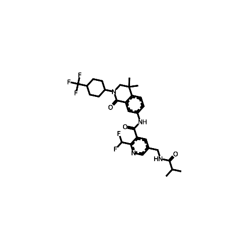 CC(C)C(=O)NCc1cnc(C(F)F)c(C(=O)Nc2ccc3c(c2)C(=O)N(C2CCC(C(F)(F)F)CC2)CC3(C)C)c1